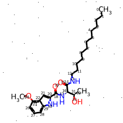 CCCCCCCCCCCCCNC(=O)[C@@H](NC(=O)c1cc2c(OC)cccc2[nH]1)[C@@H](C)O